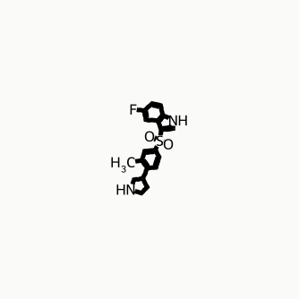 Cc1cc(S(=O)(=O)c2c[nH]c3ccc(F)cc23)ccc1C1CCNC1